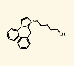 CCCCCC[n+]1ccn(-c2ccccc2)c1Cc1ccccc1